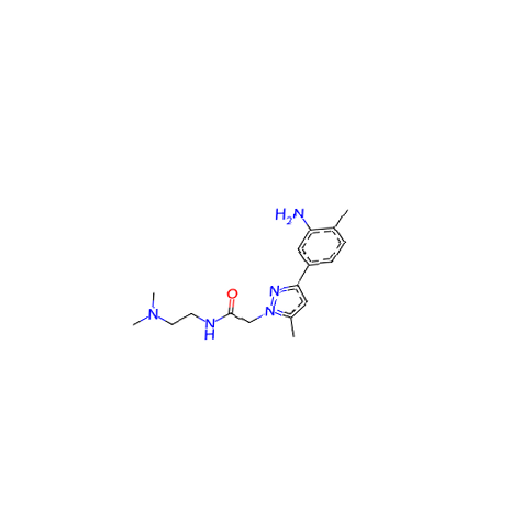 Cc1ccc(-c2cc(C)n(CC(=O)NCCN(C)C)n2)cc1N